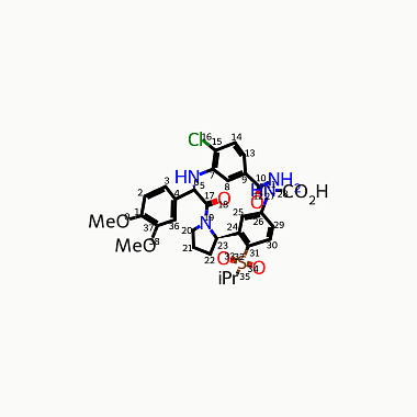 COc1ccc([C@H](Nc2cc(C(N)=O)ccc2Cl)C(=O)N2CCC[C@@H]2c2cc(NC(=O)O)ccc2S(=O)(=O)C(C)C)cc1OC